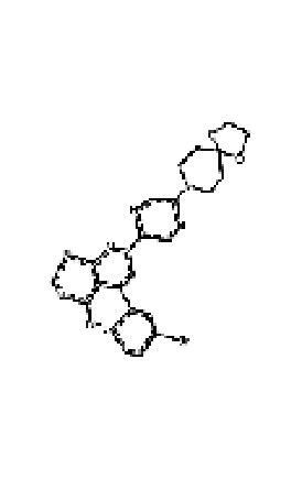 Nc1ncnc2nc(-c3cnc(N4CCC5(CC4)OCCO5)cn3)cc(-c3cccc(Br)c3)c12